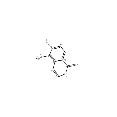 O=c1occc2c([N+](=O)[O-])c(Br)ccc12